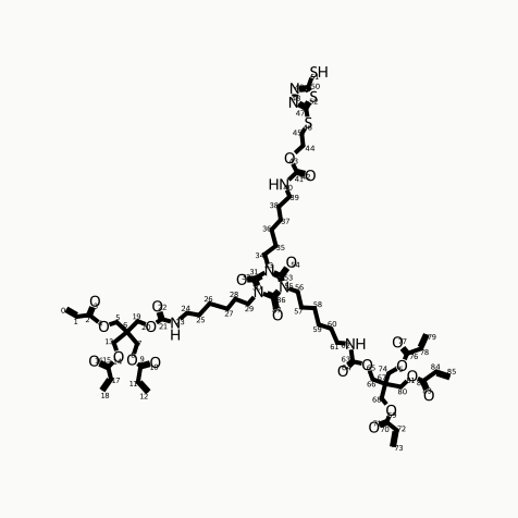 C=CC(=O)OCC(COC(=O)C=C)(COC(=O)C=C)COC(=O)NCCCCCCn1c(=O)n(CCCCCCNC(=O)OCCSc2nnc(S)s2)c(=O)n(CCCCCCNC(=O)OCC(COC(=O)C=C)(COC(=O)C=C)COC(=O)C=C)c1=O